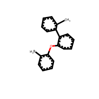 Bc1ccccc1Oc1ccccc1-c1ccccc1C